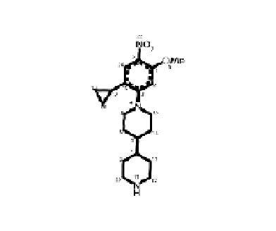 COc1cc(N2CCC(C3CCNCC3)CC2)c(C2CC2)cc1[N+](=O)[O-]